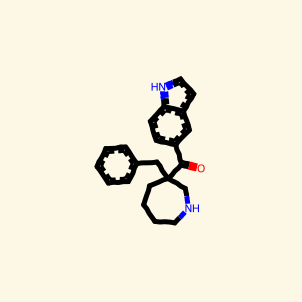 O=C(c1ccc2[nH]ccc2c1)C1(Cc2ccccc2)CCCCNC1